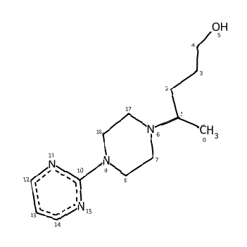 CC(CCCO)N1CCN(c2ncccn2)CC1